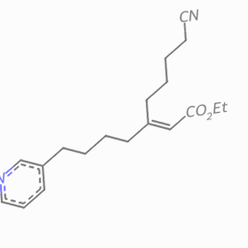 CCOC(=O)C=C(CCCCC#N)CCCCc1cccnc1